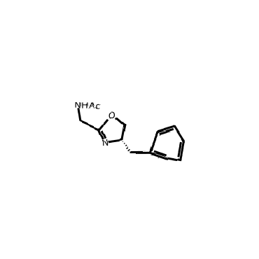 CC(=O)NCC1=N[C@@H](Cc2ccccc2)CO1